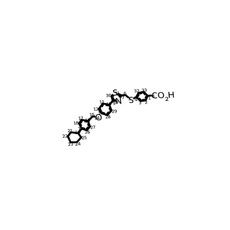 O=C(O)c1ccc(SCc2nc(-c3ccc(OCc4ccc(C5CCCCC5)cc4)cc3)cs2)cc1